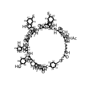 CC(=O)N[C@H]1CCCNC(=O)COc2ccc(cc2)C[C@@H](C(N)=O)NC(=O)[C@]2(C)CCCN2C(=O)[C@H](Cc2ccc(O)cc2)NC(=O)[C@H](Cc2cnc[nH]2)NC(=O)[C@H](CC(=O)O)NC(=O)[C@H](Cc2c[nH]c3ccc(F)cc23)NC(=O)[C@H](Cc2c[nH]c3ccc(F)cc23)NC(=O)CNC(=O)[C@H](C)NC1=O